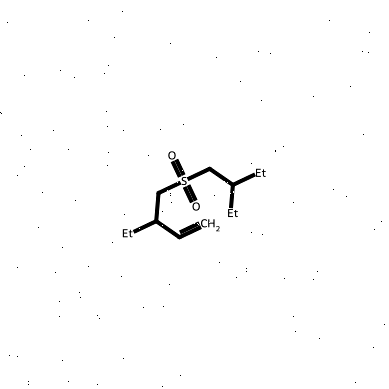 C=CC(CC)CS(=O)(=O)CC(CC)CC